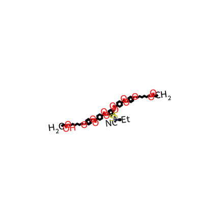 C=CC(=O)OCCCCCCOc1ccc(OC(=O)C2CCC(C(=O)Oc3ccc(OC(=O)C4CCC(C(=O)Oc5ccc(OCCCCCCOC(O)C=C)cc5)CC4)c4c3S/C(=C(/C#N)C#CCC)S4)CC2)cc1